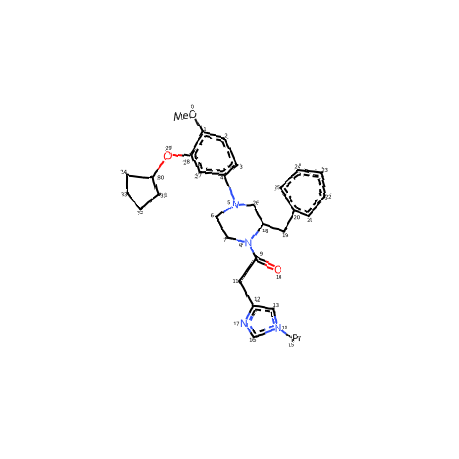 COc1ccc(N2CCN(C(=O)Cc3cn(C(C)C)cn3)C(Cc3ccccc3)C2)cc1OC1CCCC1